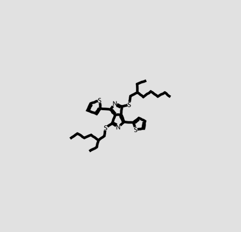 CCCCCC(CC)CSC1=NC(c2cccs2)=C2C(SCC(CC)CCCC)=NC(c3cccs3)=C12